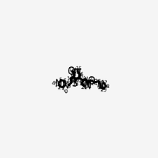 C[C@@H]1CN(C)CCN1Cc1cc2c(=O)n(C)cc(-c3ccnc(OCCN4CCCC4)c3)c2s1